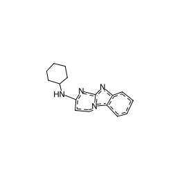 c1ccc2c(c1)nc1nc(NC3CCCCC3)ccn12